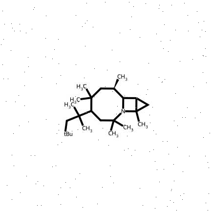 C[C@@H]1CC(C)(C)C(C(C)(C)CC(C)(C)C)CC(C)(C)N2C1C1CC12C